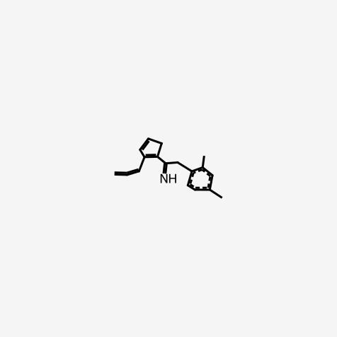 C=C=CC1=C(C(=N)Cc2ccc(C)cc2C)CC=C1